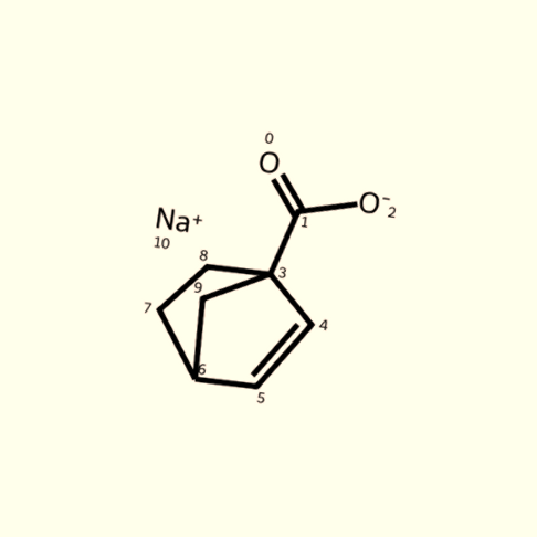 O=C([O-])C12C=CC(CC1)C2.[Na+]